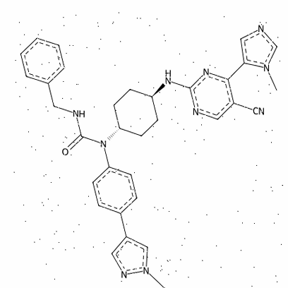 Cn1cc(-c2ccc(N(C(=O)NCc3ccccc3)[C@H]3CC[C@H](Nc4ncc(C#N)c(-c5cncn5C)n4)CC3)cc2)cn1